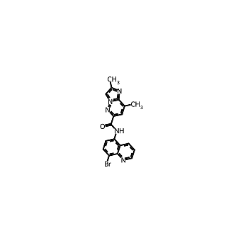 Cc1cn2nc(C(=O)Nc3ccc(Br)c4ncccc34)cc(C)c2n1